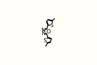 Cc1ccc(-c2nnc(-c3ccc(C)s3)o2)s1